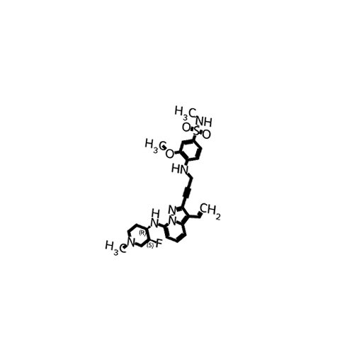 C=Cc1c(C#CCNc2ccc(S(=O)(=O)NC)cc2OC)nn2c(N[C@@H]3CCN(C)C[C@@H]3F)cccc12